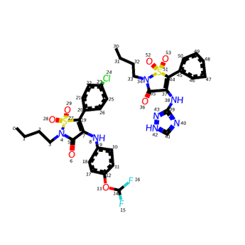 CCCCN1C(=O)C(Nc2ccc(OC(F)F)cc2)=C(c2ccc(Cl)cc2)S1(=O)=O.CCCCN1C(=O)C(Nc2nc[nH]n2)=C(c2ccccc2)S1(=O)=O